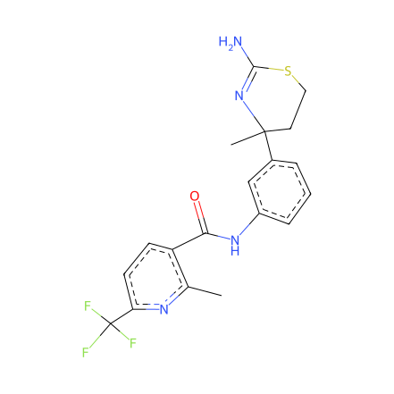 Cc1nc(C(F)(F)F)ccc1C(=O)Nc1cccc(C2(C)CCSC(N)=N2)c1